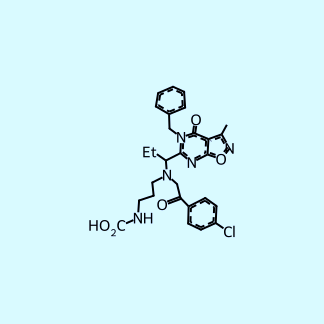 CCC(c1nc2onc(C)c2c(=O)n1Cc1ccccc1)N(CCCNC(=O)O)CC(=O)c1ccc(Cl)cc1